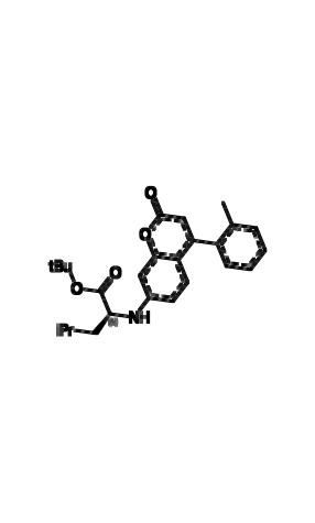 Cc1ccccc1-c1cc(=O)oc2cc(N[C@@H](CC(C)C)C(=O)OC(C)(C)C)ccc12